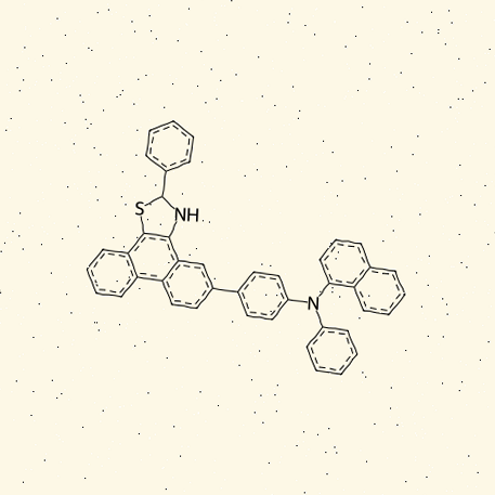 c1ccc(C2Nc3c(c4ccccc4c4ccc(-c5ccc(N(c6ccccc6)c6cccc7ccccc67)cc5)cc34)S2)cc1